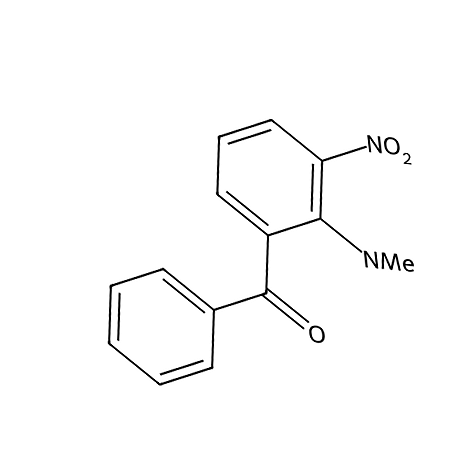 CNc1c(C(=O)c2ccccc2)cccc1[N+](=O)[O-]